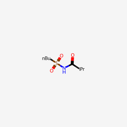 CCCCS(=O)(=O)NC(=O)C(C)C